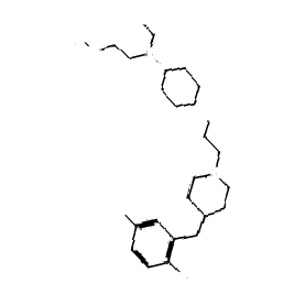 CCN(CCOC)[C@H]1CC[C@H](CCCN2CCC(Cc3cc(F)ccc3Br)CC2)CC1